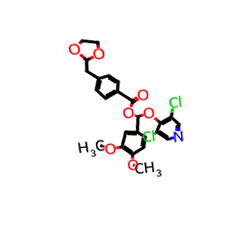 COc1ccc([C@@H](OC(=O)c2ccc(CC3OCCO3)cc2)Oc2c(Cl)cncc2Cl)cc1OC